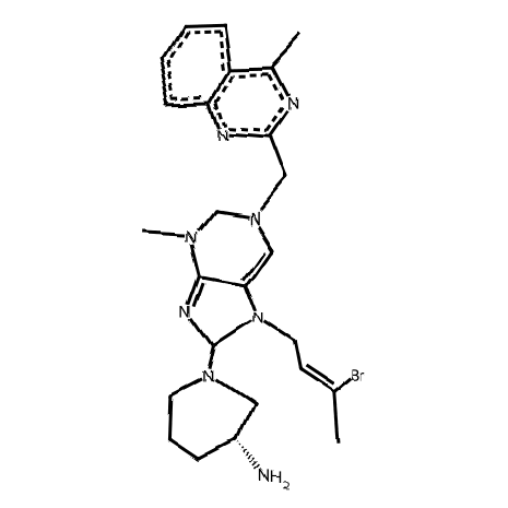 CC(Br)=CCN1C2=CN(Cc3nc(C)c4ccccc4n3)CN(C)C2=NC1N1CCC[C@@H](N)C1